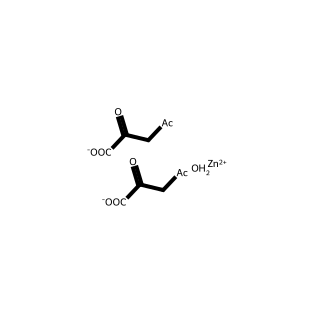 CC(=O)CC(=O)C(=O)[O-].CC(=O)CC(=O)C(=O)[O-].O.[Zn+2]